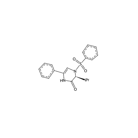 CC(C)[C@H]1C(=O)NC(c2ccccc2)=CN1S(=O)(=O)c1ccccc1